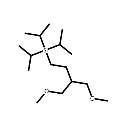 COCC(CC[Si](C(C)C)(C(C)C)C(C)C)COC